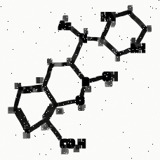 CC(=O)N(C1CNCCN1)C1Cc2cccc(C(=O)O)c2OB1O